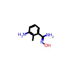 Cc1c(N)cccc1C(N)=NO